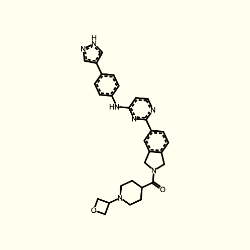 O=C(C1CCN(C2COC2)CC1)N1Cc2ccc(-c3nccc(Nc4ccc(-c5cn[nH]c5)cc4)n3)cc2C1